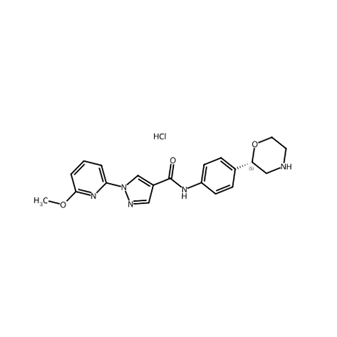 COc1cccc(-n2cc(C(=O)Nc3ccc([C@H]4CNCCO4)cc3)cn2)n1.Cl